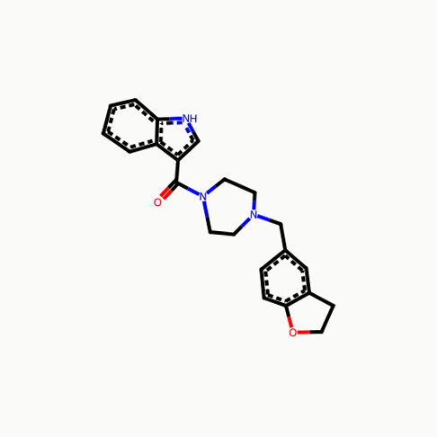 O=C(c1c[nH]c2ccccc12)N1CCN(Cc2ccc3c(c2)CCO3)CC1